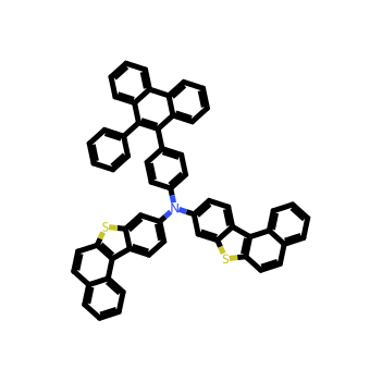 c1ccc(-c2c(-c3ccc(N(c4ccc5c(c4)sc4ccc6ccccc6c45)c4ccc5c(c4)sc4ccc6ccccc6c45)cc3)c3ccccc3c3ccccc23)cc1